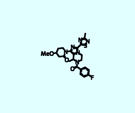 COC1CCN(c2nc(-c3nc(C)ns3)n3c2C(C)N(C(=O)c2ccc(F)cc2)CC3)C(=O)C1